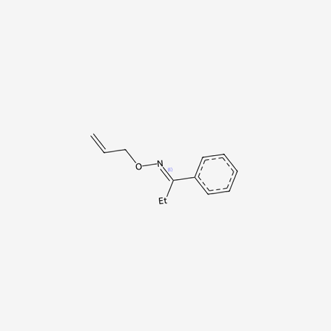 C=CCO/N=C(\CC)c1ccccc1